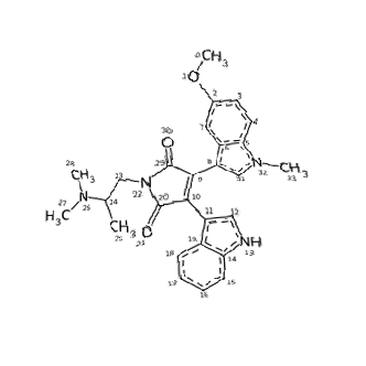 COc1ccc2c(c1)c(C1=C(c3c[nH]c4ccccc34)C(=O)N(CC(C)N(C)C)C1=O)cn2C